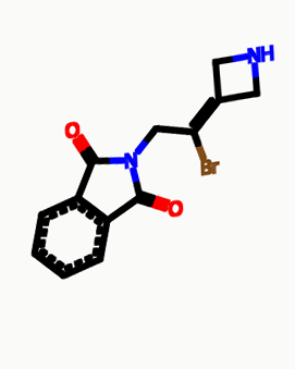 O=C1c2ccccc2C(=O)N1CC(Br)=C1CNC1